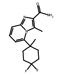 Cc1c(C(N)=O)nc2cccc(C3(C)CCC(F)(F)CC3)n12